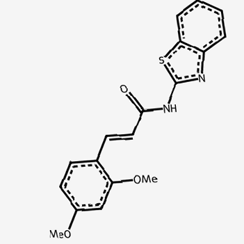 COc1ccc(C=CC(=O)Nc2nc3ccccc3s2)c(OC)c1